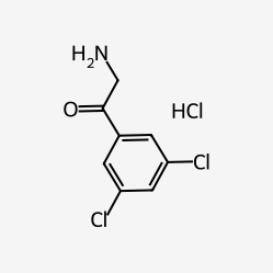 Cl.NCC(=O)c1cc(Cl)cc(Cl)c1